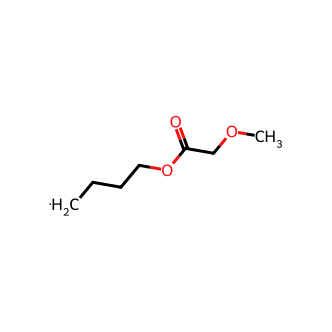 [CH2]CCCOC(=O)COC